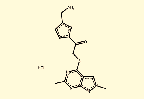 Cc1nc(SCC(=O)c2ccc(CN)s2)c2cn(C)nc2n1.Cl